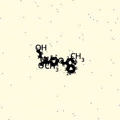 Cc1cc(COc2ccc(C3(C)CN(CCCO)C3=O)cc2)c2ccccc2n1